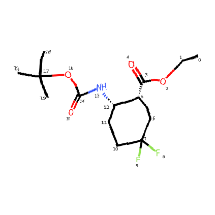 CCOC(=O)[C@@H]1CC(F)(F)CC[C@@H]1NC(=O)OC(C)(C)C